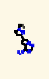 Cn1ccc(-c2cc3c(N)ncnn3c2)n1